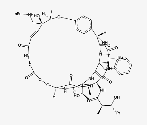 CCCCNC[C@@]1(O)/C=C/C(=O)NCC(=O)OC[C@@H]2NC(=O)[C@@H]([C@@H](C)O)NC(=O)[C@H](Cc3ccccc3)N(C)C(=O)[C@@H](NC(=O)[C@@H]([C@@H](C)CC)NC(=O)[C@@H](NC(=O)[C@H](C)[C@H](O)C(C)C)[C@@H](C)OC2=O)c2ccc(cc2)O[C@@H]1C